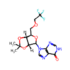 CC1(C)O[C@@H]2C(COCC(F)(F)F)OC(n3cnc4c(=O)[nH]cnc43)[C@@H]2O1